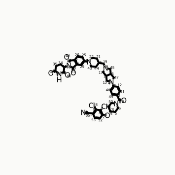 Cc1c(OC2CCN(C(=O)c3ccc(N4CC5CN(CC6CCN(c7ccc8c(c7)C(=O)N(C7CCC(=O)NC7=O)C8=O)CC6)CC5C4)cc3)CC2)ccc(C#N)c1Cl